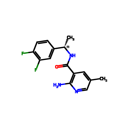 Cc1cnc(N)c(C(=O)N[C@@H](C)c2ccc(F)c(F)c2)c1